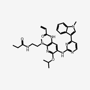 C=CC(=O)Nc1cc(Nc2nccc(-c3cn(C)c4ccccc34)n2)c(OC(C)C)nc1N(C)CCNC(=O)CC